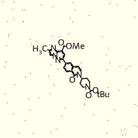 COC(=O)c1cc(-c2ccc3c(=O)n(C4CCN(C(=O)OC(C)(C)C)CC4)ccc3c2)nn2cc(C)nc12